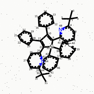 CC(C)(C)c1cccc(C2=C(c3ccccc3)C(c3ccccc3)=C(c3cccc(C(C)(C)C)n3)[Si]2(c2ccccc2)c2ccccc2)n1